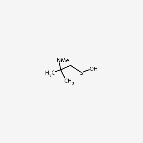 CNC(C)(C)CSO